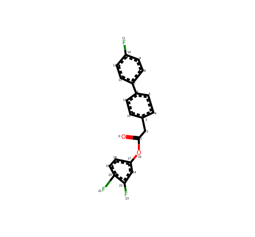 O=C(Cc1ccc(-c2ccc(F)cc2)cc1)Oc1ccc(F)c(F)c1